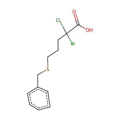 O=C(O)C(Cl)(Br)CCCSCc1ccccc1